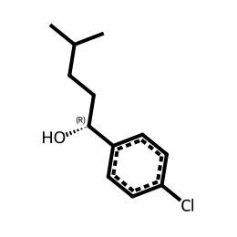 CC(C)CC[C@@H](O)c1ccc(Cl)cc1